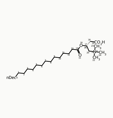 CCCCCCCCCCCCCCCCCCCCCCCC(=O)O[C@H](CC(=O)O)C[N+](C)(C)C